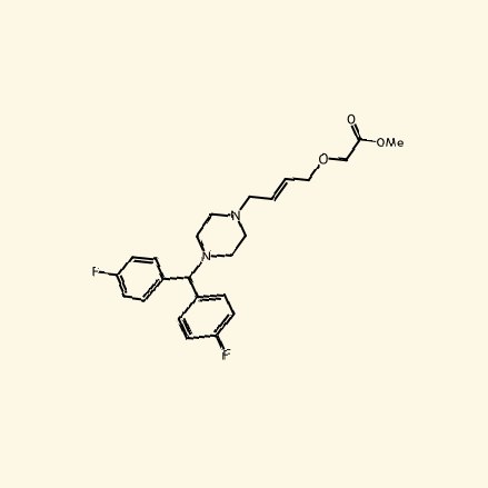 COC(=O)COCC=CCN1CCN(C(c2ccc(F)cc2)c2ccc(F)cc2)CC1